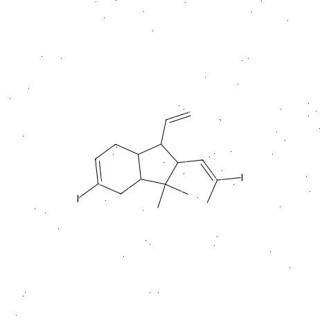 C=CC1C2CC=C(I)CC2C(C)(C)C1/C=C(\C)I